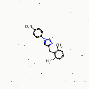 Cc1cccc(C)c1Cc1cn(-c2ccc([N+](=O)[O-])cc2)cn1